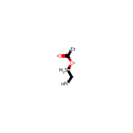 C[CH]C(=O)O[SiH2]CCCC